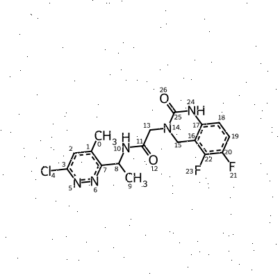 Cc1cc(Cl)nnc1C(C)NC(=O)CN1Cc2c(ccc(F)c2F)NC1=O